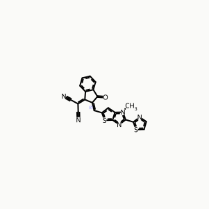 Cn1c(-c2nccs2)nc2sc(/C=C3\C(=O)c4ccccc4C3=C(C#N)C#N)cc21